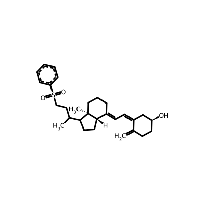 C=C1CC[C@H](O)C/C1=C/C=C1\CCC[C@]2(C)C(C(C)CCS(=O)(=O)c3ccccc3)CC[C@@H]12